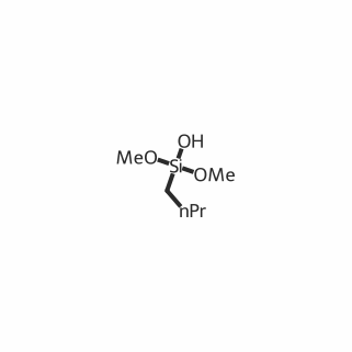 CCCC[Si](O)(OC)OC